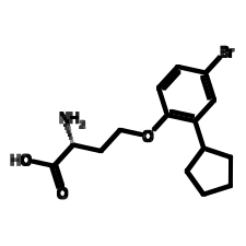 N[C@H](CCOc1ccc(Br)cc1C1CCCC1)C(=O)O